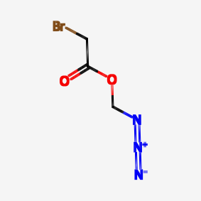 [N-]=[N+]=NCOC(=O)CBr